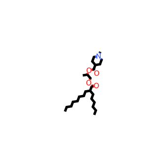 CCCCCCCCC(CCCCCC)C(=O)OCC(C)OC(=O)C1CCN(C)CC1